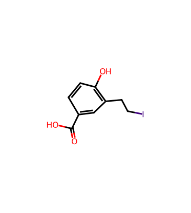 O=C(O)c1ccc(O)c(CCI)c1